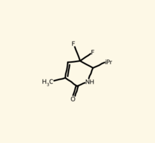 CC1=CC(F)(F)C(C(C)C)NC1=O